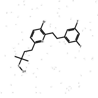 CC(C)(CCc1ccc(Br)c(CCc2cc(F)cc(F)c2)n1)SS